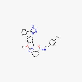 CCOc1nc2cccc(C(=O)NCCc3ccc(C)cc3)c2n1Cc1ccc(-c2ccccc2-c2nnn[nH]2)cc1